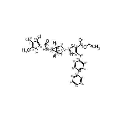 CCOC(=O)c1sc(N2C[C@@H]3[C@H](C2)[C@H]3NC(=O)c2[nH]c(C)c(Cl)c2Cl)nc1Cc1ccc(-c2ccccc2)cc1